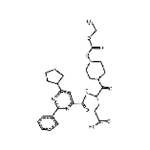 CCOC(=O)ON1CCN(C(=O)[C@H](CCC(=O)O)NC(=O)c2cc(C3CCCC3)nc(-c3ccccc3)n2)CC1